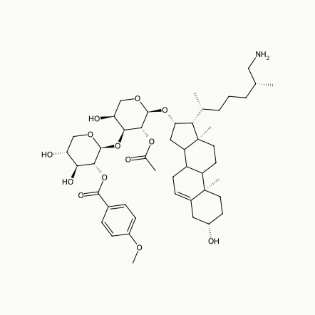 COc1ccc(C(=O)O[C@H]2[C@H](O[C@@H]3[C@@H](OC(C)=O)[C@H](O[C@H]4CC5C6CC=C7C[C@@H](O)CC[C@]7(C)C6CC[C@]5(C)[C@H]4[C@H](C)CCC[C@@H](C)CN)OC[C@@H]3O)OC[C@@H](O)[C@@H]2O)cc1